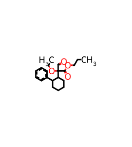 CCCOC(=O)C(C=O)(OCC)C1CCCCC1c1ccccc1